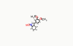 COc1ccc(C2CN(O)C3CCCCC23)cc1OC